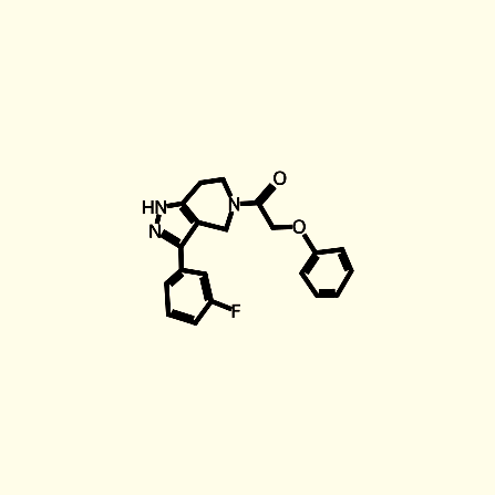 O=C(COc1ccccc1)N1CCc2[nH]nc(-c3cccc(F)c3)c2C1